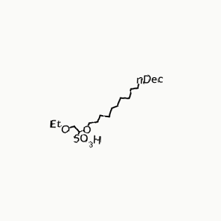 CCCCCCCCCCCCCCCCCCCCOC(COCC)S(=O)(=O)O